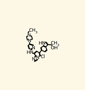 CCN1CCN(c2ccc(Nc3cc(-c4ccc5c(C(C)O)c[nH]c5c4)c(Cl)n4ccnc34)nc2)CC1